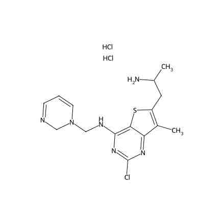 Cc1c(CC(C)N)sc2c(NCN3C=CC=NC3)nc(Cl)nc12.Cl.Cl